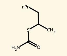 CCCCC(C)SC(N)=O